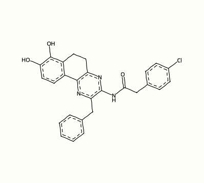 O=C(Cc1ccc(Cl)cc1)Nc1nc2c(nc1Cc1ccccc1)-c1ccc(O)c(O)c1CC2